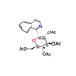 CC(=O)OC[C@H]1O[C@H](c2nccc3ccccc23)[C@H](OC(C)=O)[C@@H](OC(C)=O)[C@@H]1OC(C)=O